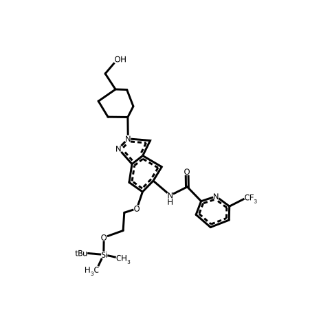 CC(C)(C)[Si](C)(C)OCCOc1cc2nn(C3CCC(CO)CC3)cc2cc1NC(=O)c1cccc(C(F)(F)F)n1